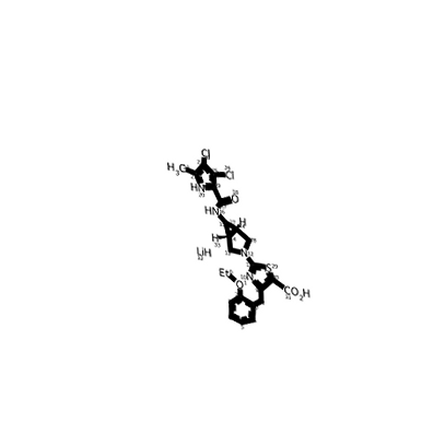 CCOc1ccccc1Cc1nc(N2C[C@@H]3C(NC(=O)c4[nH]c(C)c(Cl)c4Cl)[C@@H]3C2)sc1C(=O)O.[LiH]